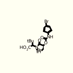 CC(C)C[C@H](OC(=O)Nc1ccc(Br)cc1)C(=O)N(C(C)C)C(C(=O)O)C(C)(C)C